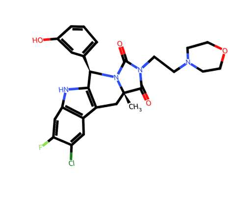 C[C@@]12Cc3c([nH]c4cc(F)c(Cl)cc34)[C@@H](c3cccc(O)c3)N1C(=O)N(CCN1CCOCC1)C2=O